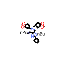 CCC/C=C/c1nc(-c2ccccc2)n(CCCC)c1CN(Cc1ccc2c(c1)OCO2)Cc1ccc2c(c1)OCO2